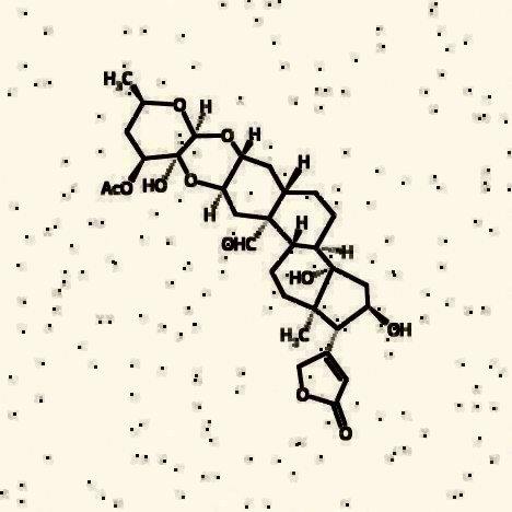 CC(=O)O[C@H]1C[C@@H](C)O[C@H]2O[C@@H]3C[C@@H]4CC[C@@H]5[C@H](CC[C@]6(C)[C@@H](C7=CC(=O)OC7)[C@H](O)C[C@]56O)[C@@]4(C=O)C[C@H]3O[C@]21O